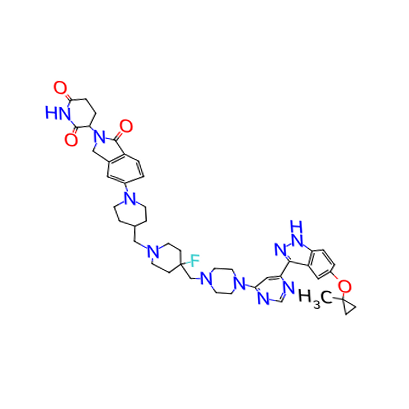 CC1(Oc2ccc3[nH]nc(-c4cc(N5CCN(CC6(F)CCN(CC7CCN(c8ccc9c(c8)CN(C8CCC(=O)NC8=O)C9=O)CC7)CC6)CC5)ncn4)c3c2)CC1